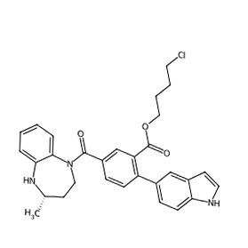 C[C@H]1CCN(C(=O)c2ccc(-c3ccc4[nH]ccc4c3)c(C(=O)OCCCCCl)c2)c2ccccc2N1